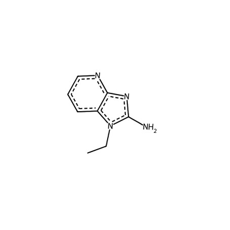 CCn1c(N)nc2ncccc21